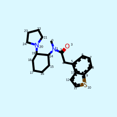 CN(C(=O)Cc1cccc2sccc12)C1CCCCC1N1CCCC1